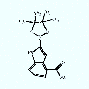 COC(=O)c1cccc2[nH]c(B3OC(C)(C)C(C)(C)O3)cc12